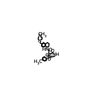 Cc1ccc(S(=O)(=O)N2CCNC(=O)C2CC(=O)NC2CCCc3cc(CN4CCN(C)CC4)ccc32)cc1